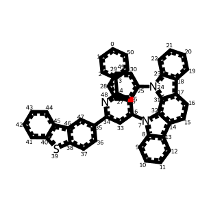 c1ccc(-c2cc(-n3c4ccccc4c4ccc5c6ccccc6n(-c6ccccc6)c5c43)cc(-c3ccc4sc5ccccc5c4c3)n2)cc1